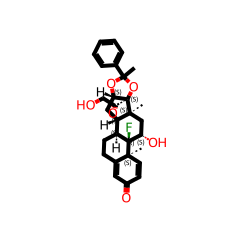 CC1(c2ccccc2)O[C@H]2C[C@H]3[C@@H]4CCC5=CC(=O)C=C[C@]5(C)[C@@]4(F)[C@@H](O)C[C@]3(C)[C@]2(C(=O)CO)O1